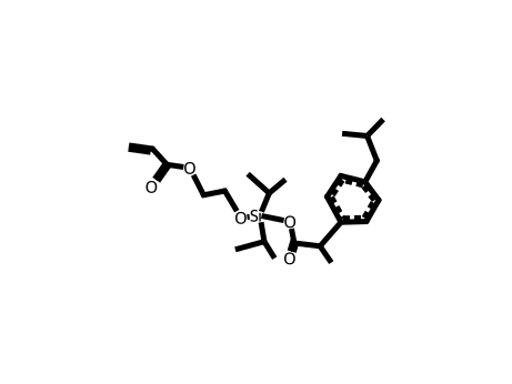 C=CC(=O)OCCO[Si](OC(=O)C(C)c1ccc(CC(C)C)cc1)(C(C)C)C(C)C